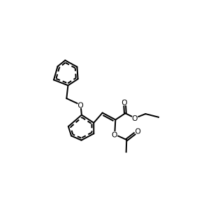 CCOC(=O)C(=Cc1ccccc1OCc1ccccc1)OC(C)=O